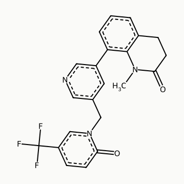 CN1C(=O)CCc2cccc(-c3cncc(Cn4cc(C(F)(F)F)ccc4=O)c3)c21